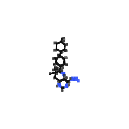 CCC1(C)Cc2ncnc(N)c2N=C1c1ccc(C2CCC(C)CC2)cc1